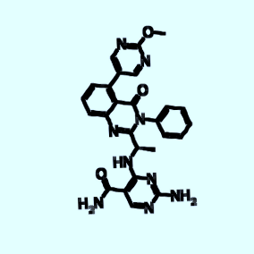 COc1ncc(-c2cccc3nc([C@@H](C)Nc4nc(N)ncc4C(N)=O)n(-c4ccccc4)c(=O)c23)cn1